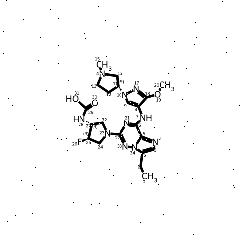 CCc1cnc2c(Nc3cn([C@@H]4CCN(C)C4)nc3OC)nc(N3C[C@@H](F)[C@H](NC(=O)O)C3)nn12